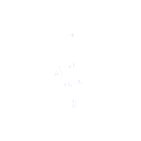 COc1ccc(Cn2nc(C)c3c(NC4CCNCC4)nccc32)cc1.Cl